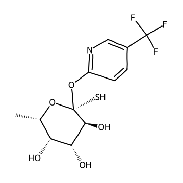 C[C@@H]1O[C@@](S)(Oc2ccc(C(F)(F)F)cn2)[C@@H](O)[C@H](O)[C@@H]1O